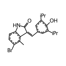 Cc1c(Br)ccc2c1C(=Cc1cc(C(C)C)c(O)c(C(C)C)c1)C(=O)N2